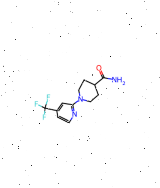 NC(=O)C1CCN(c2cc(C(F)(F)F)ccn2)CC1